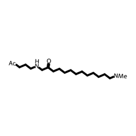 CNCCCCCCCCCCCC(=O)CNCCCC(C)=O